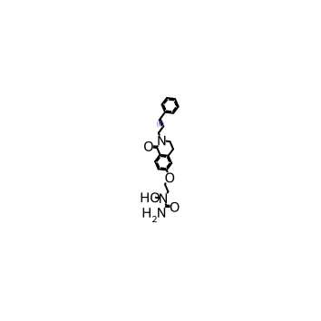 NC(=O)N(O)CCOc1ccc2c(c1)CCN(C/C=C/c1ccccc1)C2=O